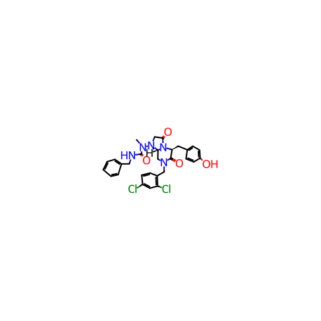 CN(C(=O)NCc1ccccc1)N1CC(=O)N2[C@@H](Cc3ccc(O)cc3)C(=O)N(Cc3ccc(Cl)cc3Cl)C[C@@H]21